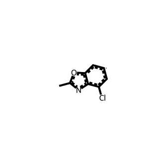 Cc1nc2c(Cl)c[c]cc2o1